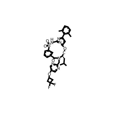 Cc1cccc(C)c1-c1cc2nc(n1)NS(=O)(=O)c1cccc(c1)C(=O)N(Cc1ncc(OC3CC(F)(F)C3)cn1)[C@H](CC(C)C)CO2